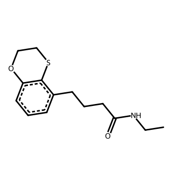 CCNC(=O)CCCc1cccc2c1SCCO2